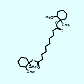 COC1CCCCC1(OC)OC(=O)CCCCCCCCC(=O)OC1(OC)CCCCC1OC